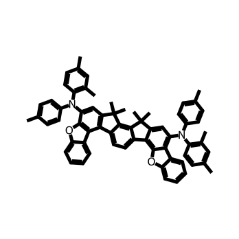 Cc1ccc(N(c2ccc(C)cc2C)c2cc3c(c4c2oc2ccccc24)-c2ccc4c(c2C3(C)C)C(C)(C)c2cc(N(c3ccc(C)cc3)c3ccc(C)cc3C)c3c(oc5ccccc53)c2-4)cc1